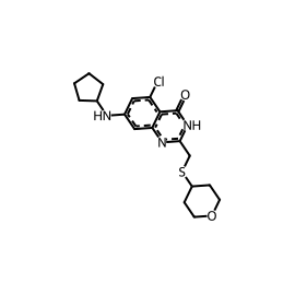 O=c1[nH]c(CSC2CCOCC2)nc2cc(NC3CCCC3)cc(Cl)c12